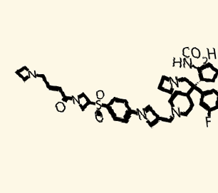 O=C(O)N[C@H]1CCC[C@@H]1C(CN1CCC1)(c1cccc(F)c1)C1CCN(CC2CN(c3ccc(S(=O)(=O)C4CN(C(=O)/C=C/CN5CCC5)C4)cc3)C2)CC1